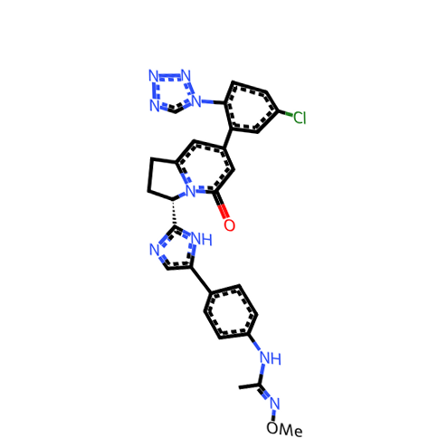 CO/N=C(\C)Nc1ccc(-c2cnc([C@@H]3CCc4cc(-c5cc(Cl)ccc5-n5cnnn5)cc(=O)n43)[nH]2)cc1